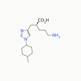 CC1CCC(n2cnc(C[C@H](CCCN)C(=O)O)c2)CC1